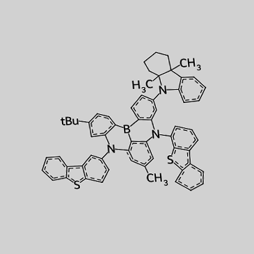 Cc1cc2c3c(c1)N(c1cccc4c1sc1ccccc14)c1cc(N4c5ccccc5C5(C)CCCCC45C)ccc1B3c1ccc(C(C)(C)C)cc1N2c1ccc2sc3ccccc3c2c1